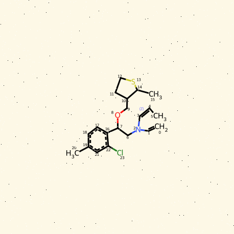 C=CN(/C=C\C)CC(OCC1CCSC1C)c1ccc(C)cc1Cl